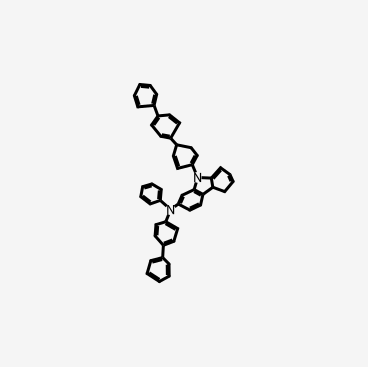 C1=CCC2C(=C1)N(C1=CCC(c3ccc(-c4ccccc4)cc3)C=C1)c1cc(N(c3ccccc3)c3ccc(-c4ccccc4)cc3)ccc12